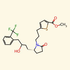 COC(=O)c1ccc(CCCN2C(=O)CC[C@@H]2CCC(O)Cc2ccccc2C(F)(F)F)s1